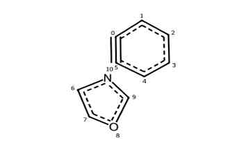 c1ccccc#1.c1cocn1